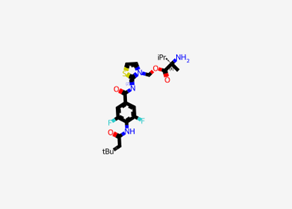 CC(C)[C@@](C)(N)C(=O)OCn1ccs/c1=N\C(=O)c1cc(F)c(NC(=O)CC(C)(C)C)c(F)c1